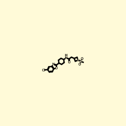 CS(=O)(=O)N1CC(CC(=O)NC2CCC(c3nc4cc(Cl)ccc4o3)CC2)C1